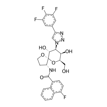 O=C(N[C@@H]1CCO[C@]12O[C@H](CO)[C@H](O)[C@H](n1cc(-c3cc(F)c(F)c(F)c3)nn1)[C@H]2O)c1ccc(F)c2ccccc12